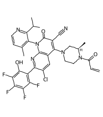 C=CC(=O)N1CCN(c2c(C#N)c(=O)n(-c3c(C)ccnc3C(C)C)c3nc(-c4c(O)c(F)c(F)c(F)c4F)c(Cl)cc23)C[C@H]1C